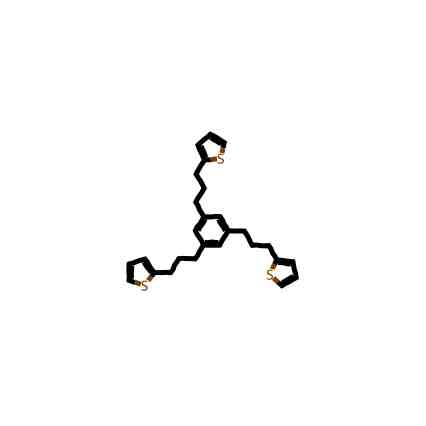 c1csc(CCCc2cc(CCCc3cccs3)cc(CCCc3cccs3)c2)c1